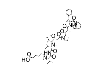 CC[C@H](C)[C@@H]([C@@H](CC(=O)N1CCC[C@H]1[C@H](OC)[C@@H](C)C(=O)N[C@@]1(C(=O)N2CCCCO2)C[C@@H]1c1ccccc1)OC)N(C)[C@H](C(=O)NC(=O)[C@H](C(C)C)N(C)CCCCCC(=O)O)C(C)C